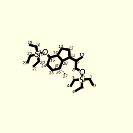 CC[Si](CC)(CC)OCC(C)C1CCC2C(O[Si](CC)(CC)CC)CC[C@@H](C)C12